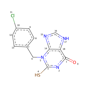 O=c1nc(S)n(Cc2ccc(Cl)cc2)c2nc[nH]c12